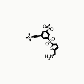 C[Si](C)(C)C#Cc1cc(S(C)(=O)=O)cc(S(=O)(=O)c2ccc(CN)s2)c1